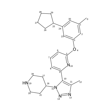 Cc1cc(Oc2cccc(-c3c(C)nnn3C3CCNCC3)n2)cc(C2CCCC2)c1